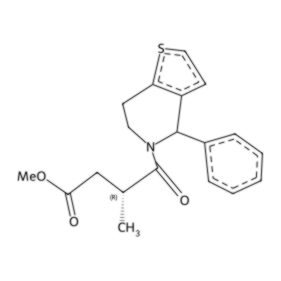 COC(=O)C[C@@H](C)C(=O)N1CCc2sccc2C1c1ccccc1